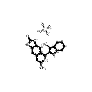 CCCc1c(-c2[o+]c(C)cc3cc4[nH]c(=O)oc4cc23)sc2ccccc12.[O-][Cl+3]([O-])([O-])[O-]